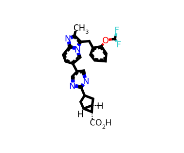 Cc1nc2ccc(-c3cnc(C4C[C@@H]5[C@H](C4)[C@H]5C(=O)O)nc3)cn2c1Cc1ccccc1OC(F)F